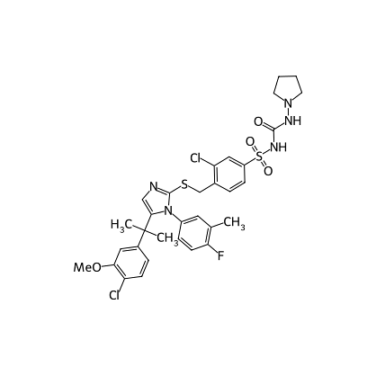 COc1cc(C(C)(C)c2cnc(SCc3ccc(S(=O)(=O)NC(=O)NN4CCCC4)cc3Cl)n2-c2ccc(F)c(C)c2)ccc1Cl